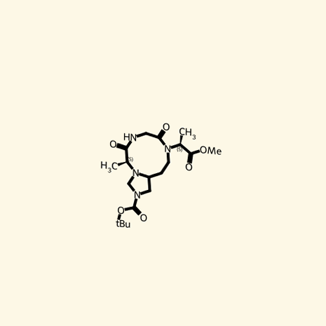 COC(=O)[C@H](C)N1CCC2CN(C(=O)OC(C)(C)C)CN2[C@@H](C)C(=O)NCC1=O